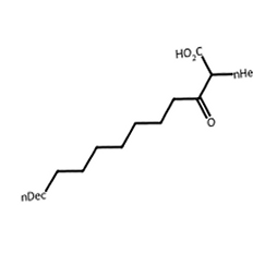 CCCCCCCCCCCCCCCCCC(=O)C(CCCCCC)C(=O)O